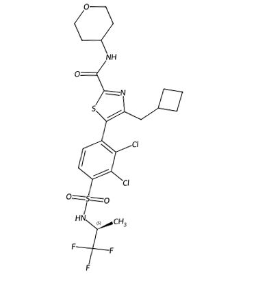 C[C@H](NS(=O)(=O)c1ccc(-c2sc(C(=O)NC3CCOCC3)nc2CC2CCC2)c(Cl)c1Cl)C(F)(F)F